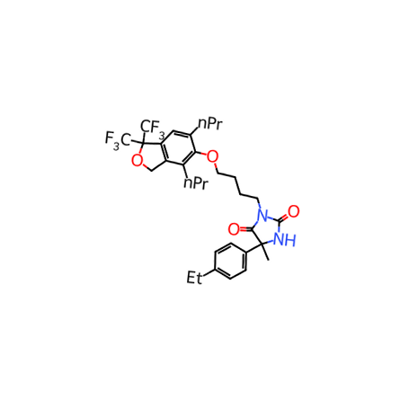 CCCc1cc2c(c(CCC)c1OCCCCN1C(=O)NC(C)(c3ccc(CC)cc3)C1=O)COC2(C(F)(F)F)C(F)(F)F